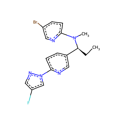 CC[C@@H](c1ccc(-n2cc(F)cn2)nc1)N(C)c1ccc(Br)cn1